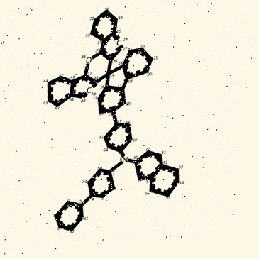 c1ccc(-c2ccc(N(c3ccc(-c4ccc5c(c4)-c4ccccc4C54c5ccc6ccccc6c5Oc5c4ccc4ccccc54)cc3)c3ccc4ccccc4c3)cc2)cc1